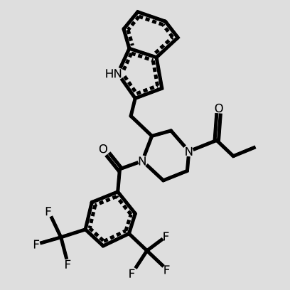 CCC(=O)N1CCN(C(=O)c2cc(C(F)(F)F)cc(C(F)(F)F)c2)C(Cc2cc3ccccc3[nH]2)C1